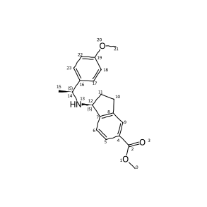 COC(=O)c1ccc2c(c1)CC[C@@H]2N[C@@H](C)c1ccc(OC)cc1